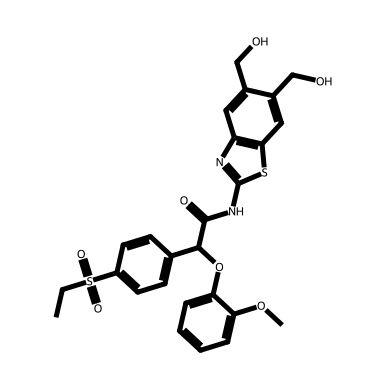 CCS(=O)(=O)c1ccc(C(Oc2ccccc2OC)C(=O)Nc2nc3cc(CO)c(CO)cc3s2)cc1